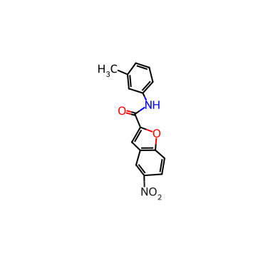 Cc1cccc(NC(=O)c2cc3cc([N+](=O)[O-])ccc3o2)c1